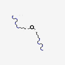 CCCCC/C=C\C/C=C\C/C=C\C/C=C\CCCC(=O)NCc1cccc(CNC(=O)CCC/C=C\C/C=C\C/C=C\C/C=C\CCCCC)c1